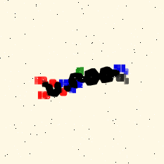 NC(c1ccc(-c2ccc(-c3nc4nc(O[C@H]5CO[C@H](CO)[C@@H](O)C5)[nH]c4cc3Cl)cc2)cc1)C(F)(F)F